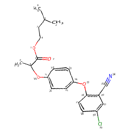 CC(C)CCOC(=O)C(C)Oc1ccc(Oc2ccc(Cl)cc2C#N)cc1